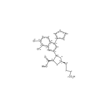 COC(=O)[C@@H]1C[C@H](OCCC(=O)O)CN1c1cc(-n2ccnc2)c2ccc(Cl)c(Cl)c2n1